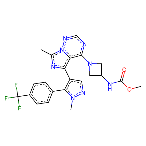 COC(=O)NC1CN(c2ncnn3c(C)nc(-c4cnn(C)c4-c4ccc(C(F)(F)F)cc4)c23)C1